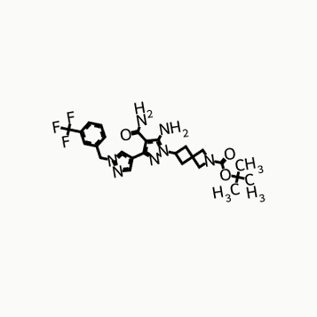 CC(C)(C)OC(=O)N1CC2(CC(n3nc(-c4cnn(Cc5cccc(C(F)(F)F)c5)c4)c(C(N)=O)c3N)C2)C1